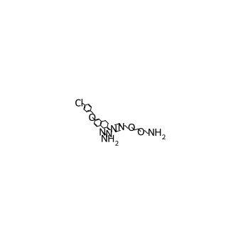 NCCOCCOCCN1CCN(c2nc(N)nc3c2CCc2cc(OCc4ccc(Cl)cc4)ccc2-3)CC1